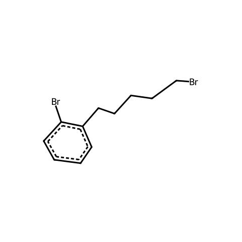 BrCCCCCc1ccccc1Br